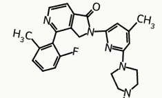 Cc1cc(N2CCNCC2)nc(N2Cc3c(ccnc3-c3c(C)cccc3F)C2=O)c1